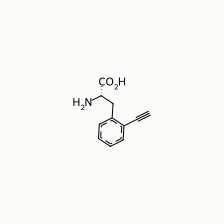 C#Cc1ccccc1C[C@H](N)C(=O)O